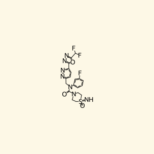 N=S1(=O)CCN(C(=O)N(Cc2ccc(-c3nnc(C(F)F)o3)nn2)c2cccc(F)c2)CC1